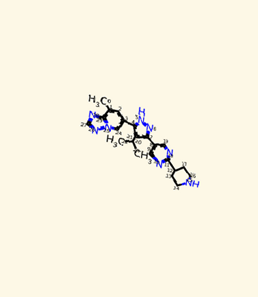 Cc1cc(-c2[nH]nc(-c3cnc(C4CCNCC4)nc3)c2C(C)C)cn2ncnc12